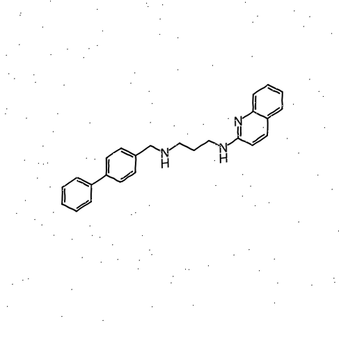 c1ccc(-c2ccc(CNCCCNc3ccc4ccccc4n3)cc2)cc1